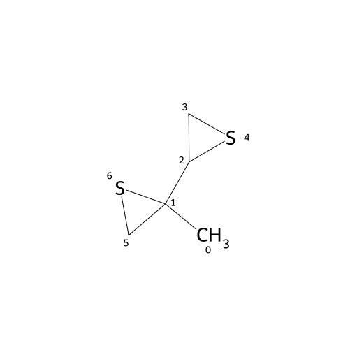 CC1(C2CS2)CS1